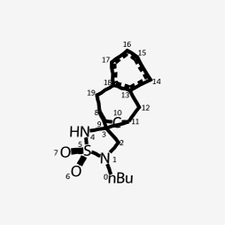 CCCCN1CC2(NS1(=O)=O)C1CCC2Cc2ccccc2C1